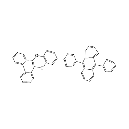 c1ccc(-c2c3ccccc3c(-c3ccc(-c4ccc5c(c4)Oc4c(c6ccccc6c6ccccc46)O5)cc3)c3ccccc23)cc1